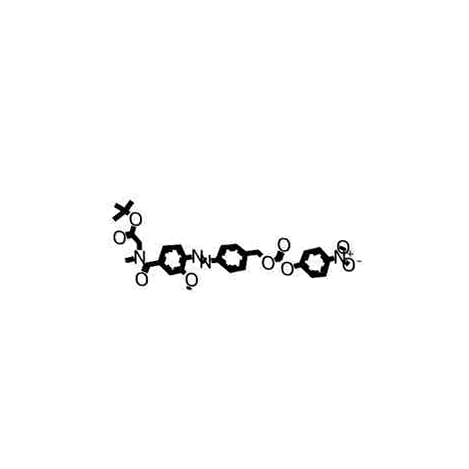 COc1cc(C(=O)N(C)CC(=O)OC(C)(C)C)ccc1/N=N/c1ccc(COC(=O)Oc2ccc([N+](=O)[O-])cc2)cc1